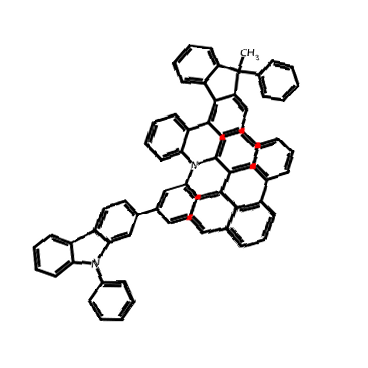 CC1(c2ccccc2)c2ccccc2-c2c(-c3ccccc3N(c3cccc(-c4ccc5c6ccccc6n(-c6ccccc6)c5c4)c3)c3ccccc3-c3cccc4cccc(-c5ccccc5)c34)cccc21